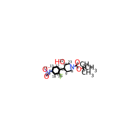 CC(C)(C)OC(=O)N1CCC(c2ccc([N+](=O)[O-])cc2F)C(O)C1